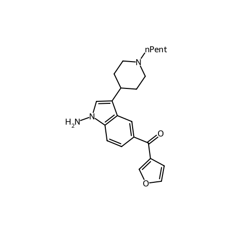 CCCCCN1CCC(c2cn(N)c3ccc(C(=O)c4ccoc4)cc23)CC1